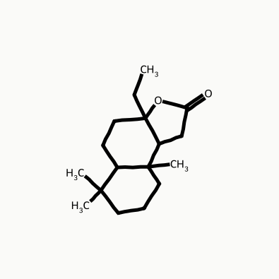 CCC12CCC3C(C)(C)CCCC3(C)C1CC(=O)O2